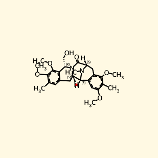 COc1cc2c(c(OC)c1C)C[C@H]1C(=O)N3[C@@H](CO)c4c(cc(C)c(OC)c4OC)C[C@H]3[C@@H]2N1C